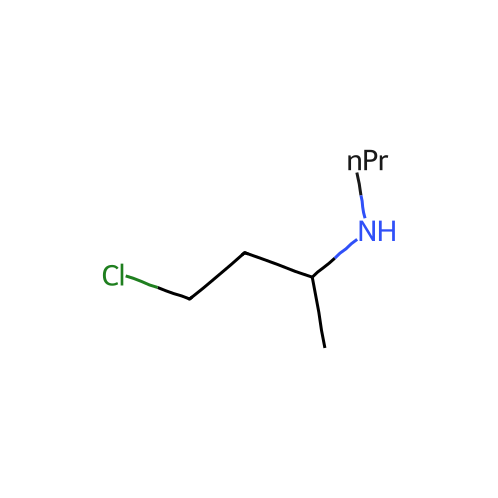 CCCNC(C)CCCl